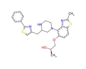 Cc1nc2c(N3CCNC(Cc4csc(-c5ccccc5)n4)C3)c(OC[C@@H](C)O)ccc2s1